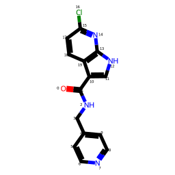 O=C(NCc1ccncc1)c1c[nH]c2nc(Cl)ccc12